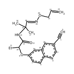 C#Cc1cnc2ccc(OC(CC)C(=O)NC(C)(C)C=NOCC=C)cc2c1